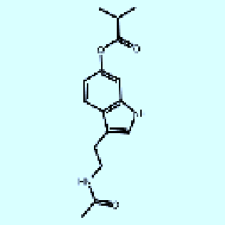 CC(=O)NCCc1c[nH]c2cc(OC(=O)C(C)C)ccc12